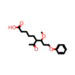 COC(CCOc1ccccc1)C(CCCCC(=O)O)C(C)=O